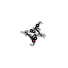 COc1ccc(C[C@](N)(CCCNC(=O)OC(C)(C)C)C(=O)N2C=C(OC3=CN(C(=O)[C@@](N)(CCCNC(=O)OC(C)(C)C)Cc4ccc(OC)cc4)c4ccccc4C3)Cc3ccccc32)cc1